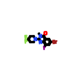 Cn1c(N2CCC(F)(F)CC2)nc2c(I)cc(Br)cc2c1=O